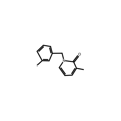 Cc1cccn(Cc2cccc(I)c2)c1=O